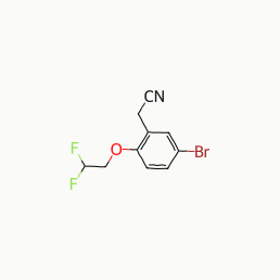 N#CCc1cc(Br)ccc1OCC(F)F